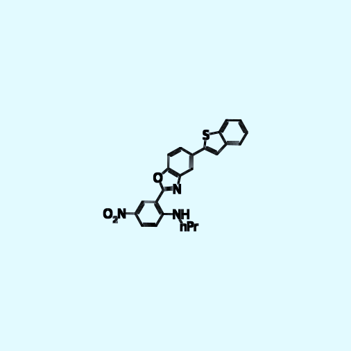 CCCNc1ccc([N+](=O)[O-])cc1-c1nc2cc(-c3cc4ccccc4s3)ccc2o1